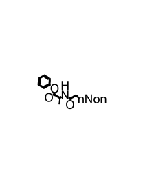 CCCCCCCCCCC(=O)N[C@@H](C)C(=O)Oc1ccccc1